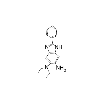 CCN(CC)c1cc2nc(-c3ccccc3)[nH]c2cc1N